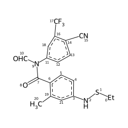 CCSNc1ccc(C(=O)N(C=O)c2ccc(C#N)c(C(F)(F)F)c2)c(C)c1